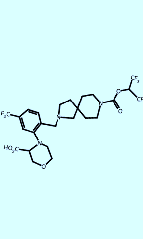 O=C(O)C1COCCN1c1cc(C(F)(F)F)ccc1CN1CCC2(CCN(C(=O)OC(C(F)(F)F)C(F)(F)F)CC2)C1